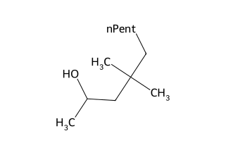 CCCCCCC(C)(C)CC(C)O